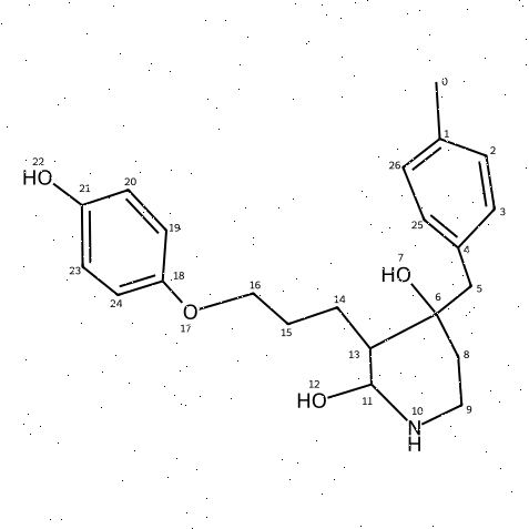 Cc1ccc(CC2(O)CCNC(O)C2CCCOc2ccc(O)cc2)cc1